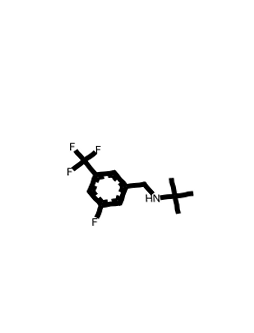 CC(C)(C)NCc1cc(F)cc(C(F)(F)F)c1